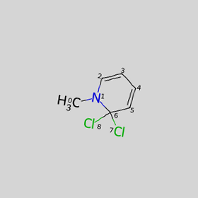 CN1C=CC=CC1(Cl)Cl